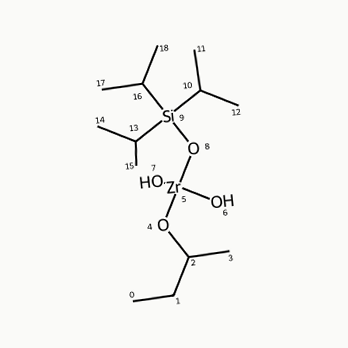 CCC(C)[O][Zr]([OH])([OH])[O][Si](C(C)C)(C(C)C)C(C)C